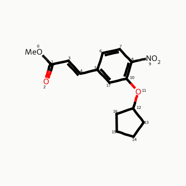 COC(=O)C=Cc1ccc([N+](=O)[O-])c(OC2CCCC2)c1